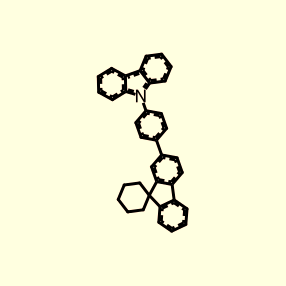 c1ccc2c(c1)-c1ccc(-c3ccc(-n4c5ccccc5c5ccccc54)cc3)cc1C21CCCCC1